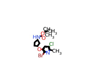 Cc1nc(Br)c(O[C@@H]2CC[C@H](NC(=O)OC(C)(C)C)C2)cc1Cl